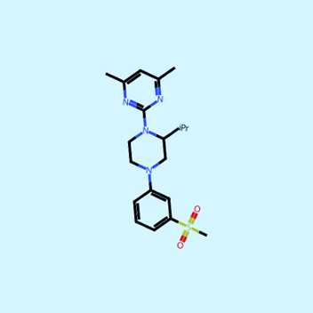 Cc1cc(C)nc(N2CCN(c3cccc(S(C)(=O)=O)c3)CC2C(C)C)n1